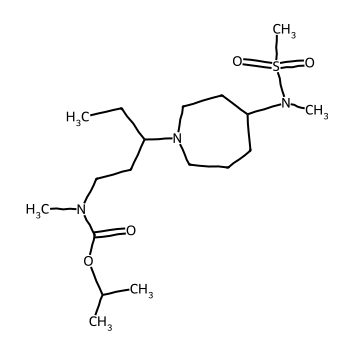 CCC(CCN(C)C(=O)OC(C)C)N1CCCC(N(C)S(C)(=O)=O)CC1